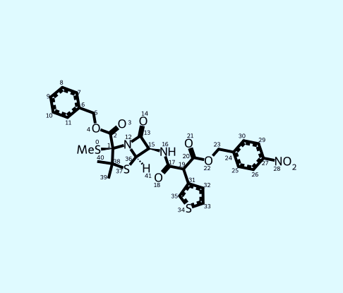 CS[C@@]1(C(=O)OCc2ccccc2)N2C(=O)[C@@H](NC(=O)C(C(=O)OCc3ccc([N+](=O)[O-])cc3)c3ccsc3)[C@H]2SC1(C)C